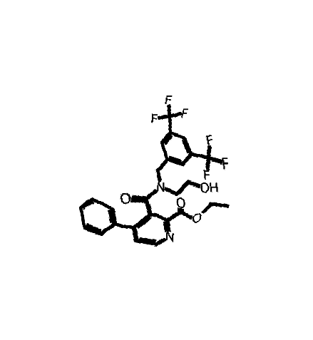 CCOC(=O)c1nccc(-c2ccccc2)c1C(=O)N(CCO)Cc1cc(C(F)(F)F)cc(C(F)(F)F)c1